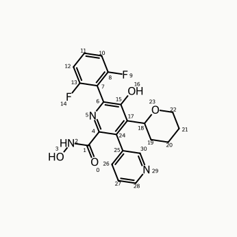 O=C(NO)c1nc(-c2c(F)cccc2F)c(O)c(C2CCCCO2)c1-c1cccnc1